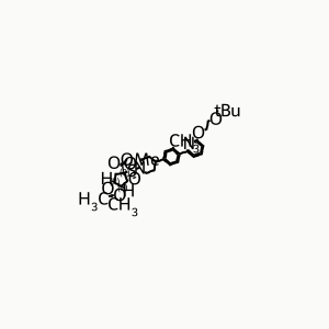 COC(=O)[C@@]1(S(=O)(=O)N2CCC(c3ccc(-c4cccc(OCCOC(C)(C)C)n4)c(C)c3)CC2)C[C@@H]2OC(C)(C)O[C@@H]2C1